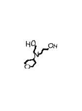 OCCCN(CCO)C1CCOCC1